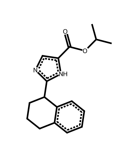 CC(C)OC(=O)c1cnc(C2CCCc3ccccc32)[nH]1